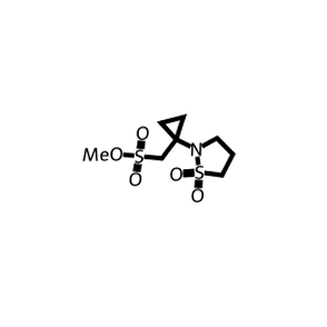 COS(=O)(=O)CC1(N2CCCS2(=O)=O)CC1